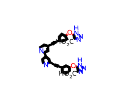 O=C(O)c1nn[nH]c1Oc1ccc(C#Cc2ccnc(-c3ccnc(C#Cc4cccc(Oc5[nH]nnc5C(=O)O)c4)c3)c2)cc1